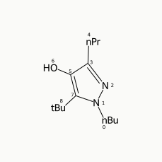 CCCCn1nc(CCC)c(O)c1C(C)(C)C